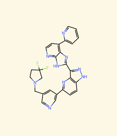 FC1(F)CCN(Cc2cncc(-c3ccc4[nH]nc(-c5nc6c(-c7ccccn7)ccnc6[nH]5)c4n3)c2)C1